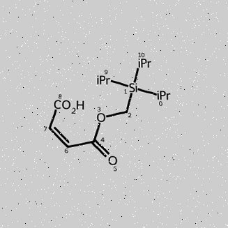 CC(C)[Si](COC(=O)/C=C\C(=O)O)(C(C)C)C(C)C